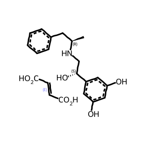 C[C@H](Cc1ccccc1)NC[C@@H](O)c1cc(O)cc(O)c1.O=C(O)/C=C/C(=O)O